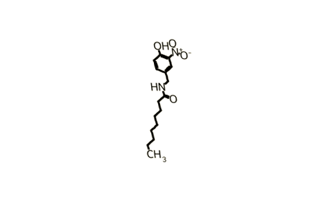 CCCCCCCCC(=O)NCc1ccc(O)c([N+](=O)[O-])c1